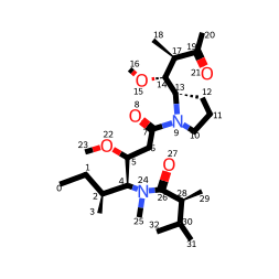 CC[C@H](C)[C@@H](C(CC(=O)N1CCC[C@H]1[C@H](OC)[C@@H](C)C(C)=O)OC)N(C)C(=O)[C@@H](C)C(C)C